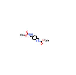 CC(C)(C)OC(=O)NCC1CCC(CNC(=O)OC(C)(C)C)CC1